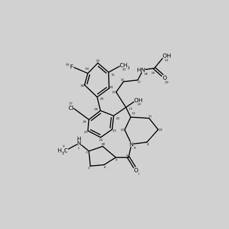 CNC1CCC(C(=O)N2CCCC(C(O)(CCCNC(=O)O)c3cccc(Cl)c3-c3cc(C)cc(F)c3)C2)C1